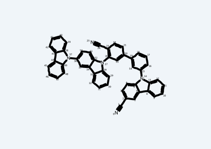 N#Cc1ccc2c(c1)c1ccccc1n2-c1cccc(-c2ccc(C#N)c(-n3c4ccccc4c4cc(-n5c6ccccc6c6ccccc65)ccc43)c2)c1